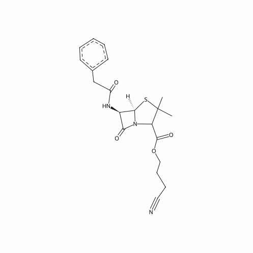 CC1(C)S[C@@H]2[C@H](NC(=O)Cc3ccccc3)C(=O)N2C1C(=O)OCCCC#N